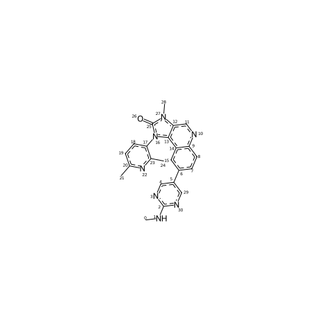 CNc1ncc(-c2ccc3ncc4c(c3c2)n(-c2ccc(C)nc2C)c(=O)n4C)cn1